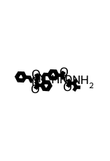 CC(C)C(N)C(=O)ONC(=O)c1ccc(Cn2c(=O)n(CCc3ccccc3)c(=O)c3ccccc32)cc1